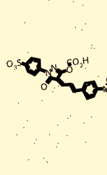 CN(C)c1ccc(C=CC=C2C(=O)N(c3ccc(S(=O)(=O)O)cc3)N=C2OC(=O)O)cc1